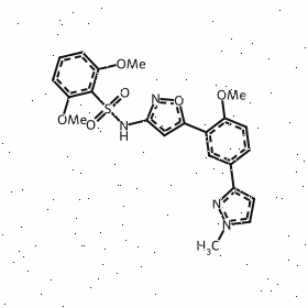 COc1ccc(-c2ccn(C)n2)cc1-c1cc(NS(=O)(=O)c2c(OC)cccc2OC)no1